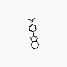 CN(C)c1ccc(-c2nc3c(s2)CCCC3)cc1